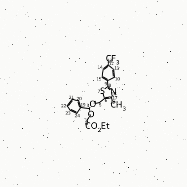 CCOC(=O)COC(OCc1sc(-c2ccc(C(F)(F)F)cc2)nc1C)c1ccccc1